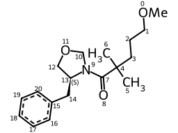 COCCCC(C)(C)C(=O)N1COC[C@@H]1Cc1ccccc1